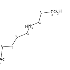 CC(=O)CCCCNCCC(=O)O